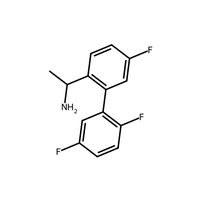 CC(N)c1ccc(F)cc1-c1cc(F)ccc1F